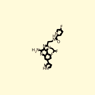 Nc1nc2cc(-c3cc[nH]n3)ccc2c2c1nc(CCNC(=O)c1ccc(F)cn1)n2CC(F)F